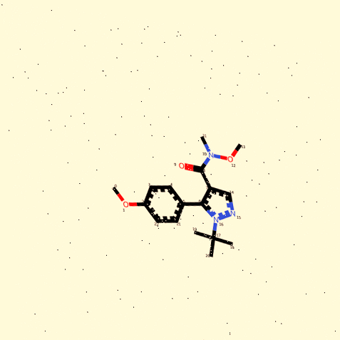 COc1ccc(-c2c(C(=O)N(C)OC)cnn2C(C)(C)C)cc1